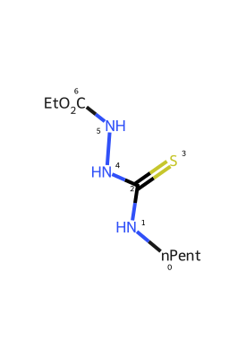 CCCCCNC(=S)NNC(=O)OCC